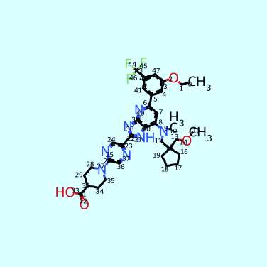 CCOc1cc(-c2cc(N(C)CC3(COC)CCCC3)c3[nH]c(-c4cnc(N5CCC(C(=O)O)CC5)cn4)nc3n2)cc(C(F)(F)F)c1